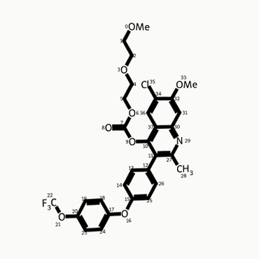 COCCOCCOC(=O)Oc1c(-c2ccc(Oc3ccc(OC(F)(F)F)cc3)cc2)c(C)nc2cc(OC)c(Cl)cc12